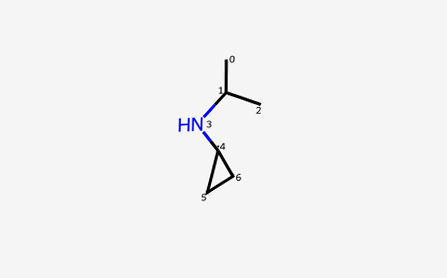 CC(C)N[C]1CC1